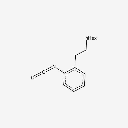 CCCCCCCCc1ccccc1N=C=O